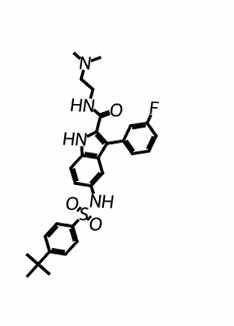 CN(C)CCNC(=O)c1[nH]c2ccc(NS(=O)(=O)c3ccc(C(C)(C)C)cc3)cc2c1-c1cccc(F)c1